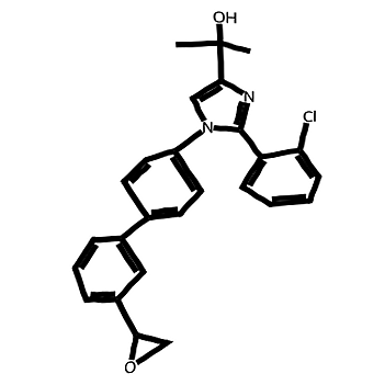 CC(C)(O)c1cn(-c2ccc(-c3cccc(C4CO4)c3)cc2)c(-c2ccccc2Cl)n1